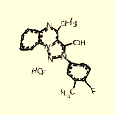 Cc1cc(-n2n[n+]3c(c(C)nc4ccccc43)c2O)ccc1F.[OH-]